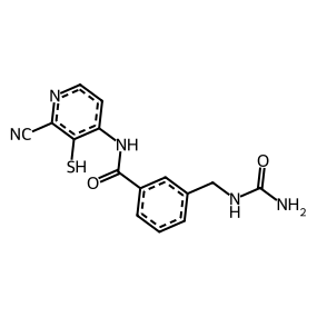 N#Cc1nccc(NC(=O)c2cccc(CNC(N)=O)c2)c1S